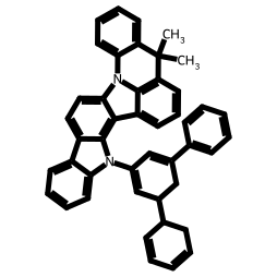 CC1(C)c2ccccc2-n2c3ccc4c5ccccc5n(C5=CC(C6C=CC=CC6)CC(c6ccccc6)=C5)c4c3c3cccc1c32